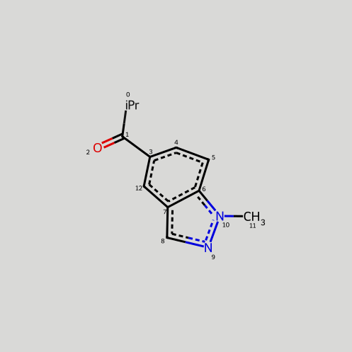 CC(C)C(=O)c1ccc2c(cnn2C)c1